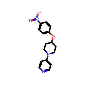 O=[N+]([O-])c1ccc(OC2CCN(c3ccncc3)CC2)cc1